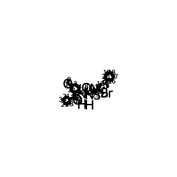 COc1ccc(NC(=O)Nc2nc(CSc3ccccc3)c(Br)s2)c(C(=O)C2CCCC2)c1